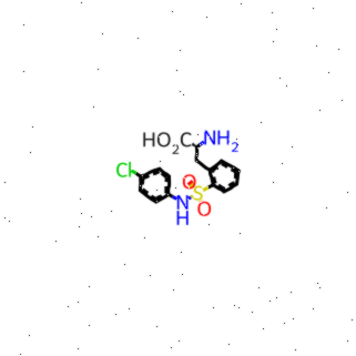 N[C@@H](Cc1ccccc1S(=O)(=O)Nc1ccc(Cl)cc1)C(=O)O